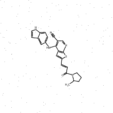 CC1CCCN1C(=O)/C=C/c1cc2c(Nc3ccc4[nH]ccc4c3)c(C#N)cnc2s1